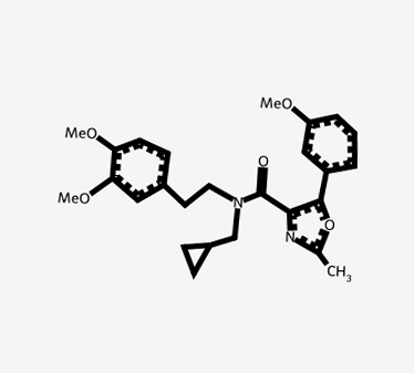 COc1cccc(-c2oc(C)nc2C(=O)N(CCc2ccc(OC)c(OC)c2)CC2CC2)c1